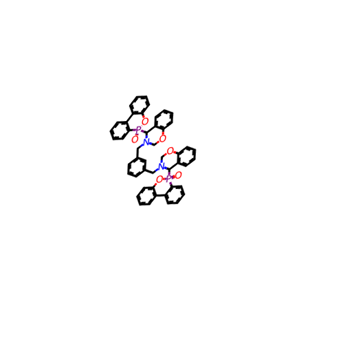 O=P1(C2c3ccccc3OCN2Cc2cccc(CN3COc4ccccc4C3P3(=O)Oc4ccccc4-c4ccccc43)c2)Oc2ccccc2-c2ccccc21